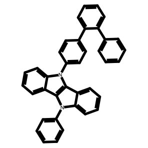 c1ccc(-c2ccccc2-c2ccc(-n3c4ccccc4c4c3c3ccccc3n4-c3ccccc3)cc2)cc1